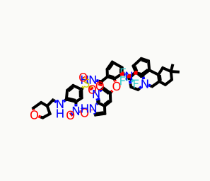 CC1(C)CCC(CN2CCN(c3cccc(C(=O)NS(=O)(=O)c4ccc(NCC5CCOCC5)c([N+](=O)[O-])c4)c3Oc3cnc4[nH]ccc4c3)CC2)=C(c2cccc(C(F)(F)F)c2)C1